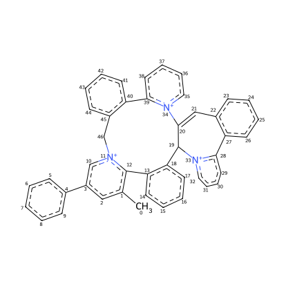 Cc1cc(-c2ccccc2)c[n+]2c1-c1ccccc1C1C(=Cc3ccccc3-c3cccc[n+]31)[n+]1ccccc1-c1ccccc1C2